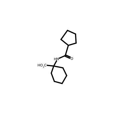 O=C(NC1(C(=O)O)CCCCC1)C1CCCC1